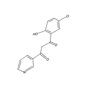 O=C(CC(=O)c1cc(Cl)ccc1O)c1cccnc1